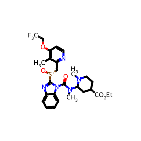 CCOC(=O)C1CCN(C)C(N(C)C(=O)n2c([S+]([O-])Cc3nccc(OCC(F)(F)F)c3C)nc3ccccc32)C1